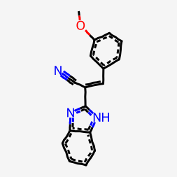 COc1cccc(C=C(C#N)c2nc3ccccc3[nH]2)c1